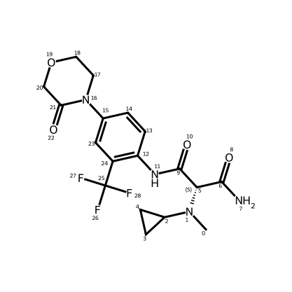 CN(C1CC1)[C@@H](C(N)=O)C(=O)Nc1ccc(N2CCOCC2=O)cc1C(F)(F)F